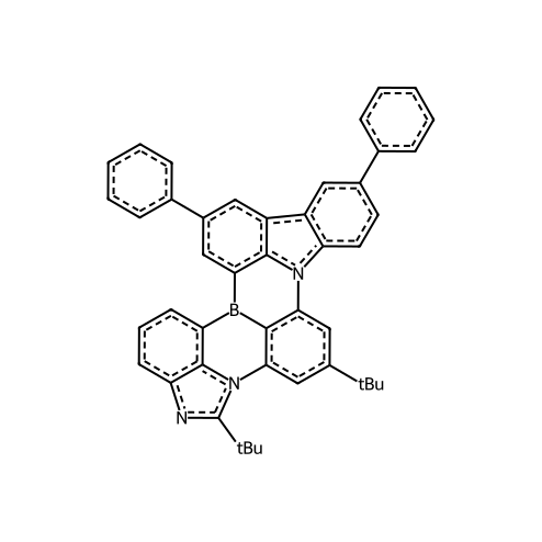 CC(C)(C)c1cc2c3c(c1)-n1c4ccc(-c5ccccc5)cc4c4cc(-c5ccccc5)cc(c41)B3c1cccc3nc(C(C)(C)C)n-2c13